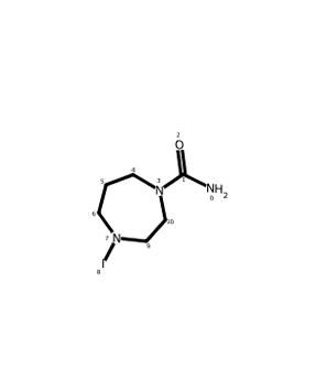 NC(=O)N1CCCN(I)CC1